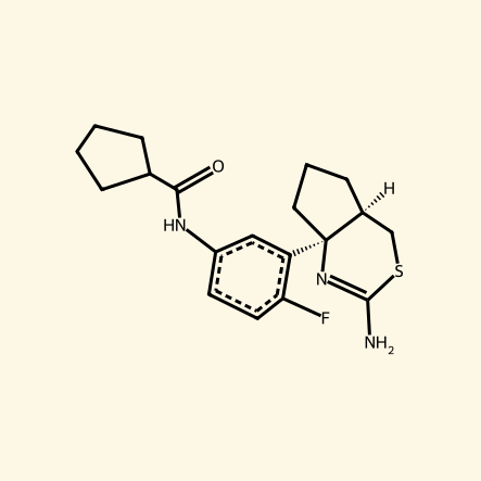 NC1=N[C@@]2(c3cc(NC(=O)C4CCCC4)ccc3F)CCC[C@H]2CS1